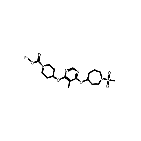 Cc1c(OC2CCN(C(=O)OC(C)C)CC2)ncnc1OC1CCCN(S(C)(=O)=O)CC1